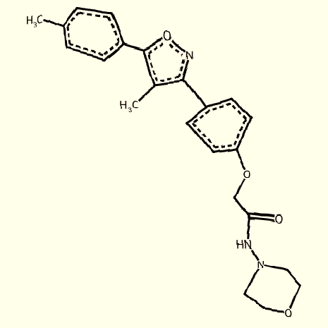 Cc1ccc(-c2onc(-c3ccc(OCC(=O)NN4CCOCC4)cc3)c2C)cc1